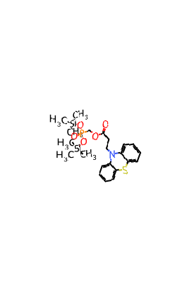 C[Si](C)(C)OP(=O)(COC(=O)CCN1c2ccccc2Sc2ccccc21)O[Si](C)(C)C